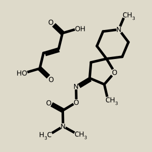 CC1OC2(CCN(C)CC2)C/C1=N/OC(=O)N(C)C.O=C(O)/C=C/C(=O)O